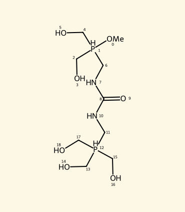 CO[PH](CO)(CO)CNC(=O)NC[PH](CO)(CO)CO